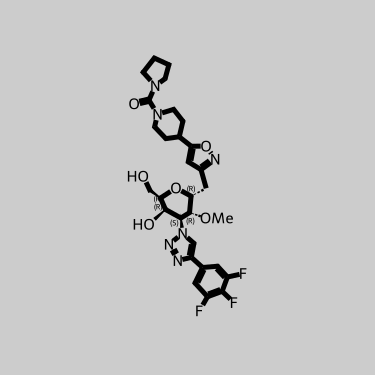 CO[C@@H]1[C@@H](n2cc(-c3cc(F)c(F)c(F)c3)nn2)[C@@H](O)[C@@H](CO)O[C@@H]1Cc1cc(C2CCN(C(=O)N3CCCC3)CC2)on1